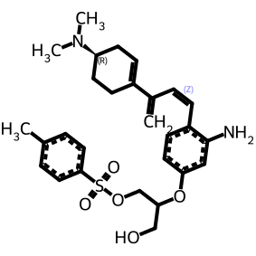 C=C(/C=C\c1ccc(OC(CO)COS(=O)(=O)c2ccc(C)cc2)cc1N)C1=CC[C@H](N(C)C)CC1